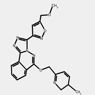 COCc1cc(-c2nnc3c4ccccc4c(OCC4=NCC(C)C=C4)nn23)no1